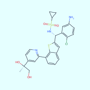 C[C@@](O)(CO)c1ccnc(-c2cccc3cc([C@H](NS(=O)(=O)C4CC4)c4cc(N)ccc4Cl)sc23)c1